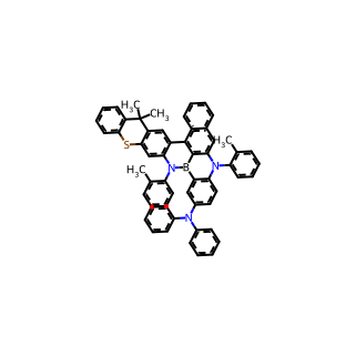 Cc1ccccc1N1B2c3cc(N(c4ccccc4)c4ccccc4)ccc3N(c3ccccc3C)c3cc4ccccc4c(c32)-c2cc3c(cc21)Sc1ccccc1C3(C)C